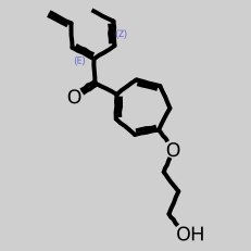 C=C/C=C(\C=C/C)C(=O)C1=CC=C(OCCCO)CC=C1